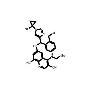 CC(C)(C)CNc1c(C#N)cnc2c(C#N)cc(NC(c3cn(C4(C#N)CC4)nn3)c3ccccc3CO)cc12